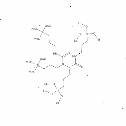 CCO[Si](CCCNC(=O)N(CCC[Si](OCC)(OCC)OCC)N(CCC[Si](OC)(OC)OC)C(=O)NCCC[Si](OC)(OC)OC)(OCC)OCC